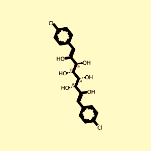 OC(=Cc1ccc(Cl)cc1)[C@@H](O)[C@@H](O)[C@H](O)[C@@H](O)C(O)=Cc1ccc(Cl)cc1